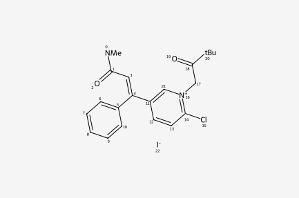 CNC(=O)/C=C(\c1ccccc1)c1ccc(Cl)[n+](CC(=O)C(C)(C)C)c1.[I-]